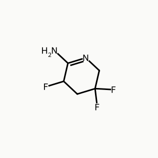 NC1=NCC(F)(F)CC1F